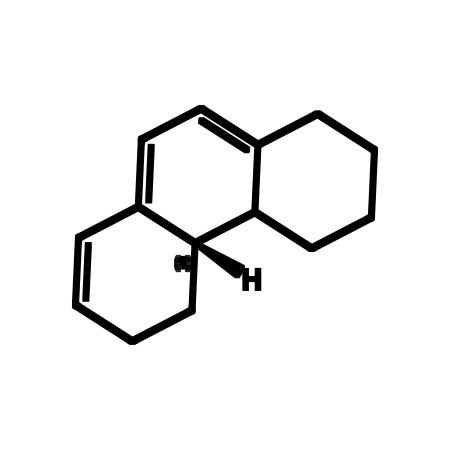 C1=CC2=CC=C3CCCCC3[C@@H]2CC1